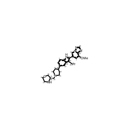 COc1cc(-c2[nH]c3ccc(C4CCN(C[C@@H]5COCCN5)CC4)cc3c2C(C)C)cn2ncnc12